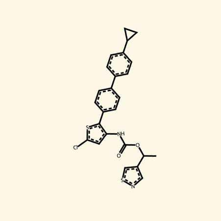 CC(OC(=O)Nc1cc(Cl)sc1-c1ccc(-c2ccc(C3CC3)cc2)cc1)c1cnsc1